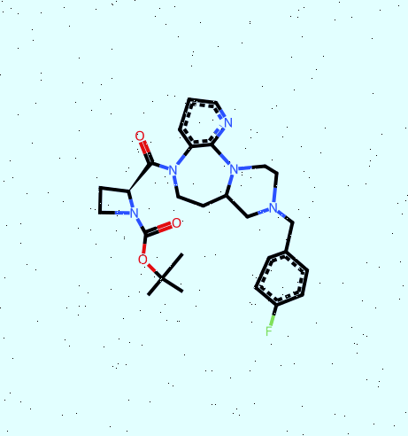 CC(C)(C)OC(=O)N1CC[C@H]1C(=O)N1CCC2CN(Cc3ccc(F)cc3)CCN2c2ncccc21